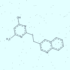 Cc1cc(O)nc(SCc2cnc3ccccc3c2)n1